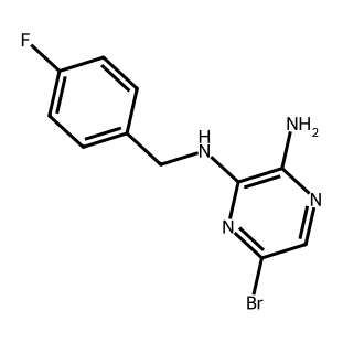 Nc1ncc(Br)nc1NCc1ccc(F)cc1